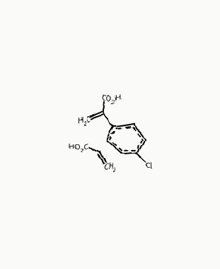 C=C(C(=O)O)c1ccc(Cl)cc1.C=CC(=O)O